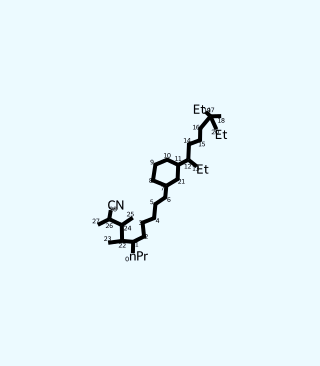 CCCC(CCCCCC1CCCC(C(CC)CCCC(C)(CC)CC)C1)C(C)C(C)C(C)C#N